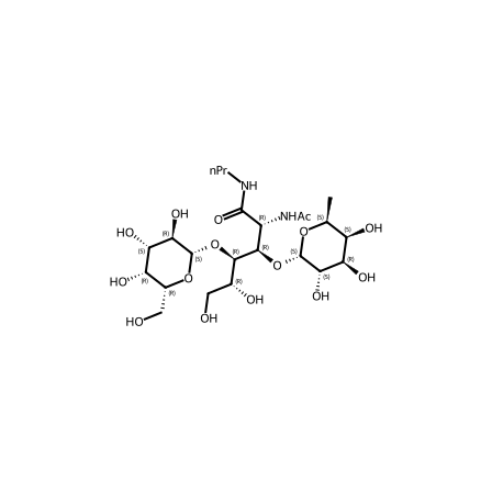 CCCNC(=O)[C@H](NC(C)=O)[C@@H](O[C@@H]1O[C@@H](C)[C@@H](O)[C@@H](O)[C@@H]1O)[C@H](O[C@@H]1O[C@H](CO)[C@H](O)[C@H](O)[C@H]1O)[C@H](O)CO